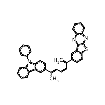 C=C(/C=C\C=C(/C)c1ccc2c(c1)c1ccccc1n2-c1ccccc1)c1ccc2sc3nc4ccccc4nc3c2c1